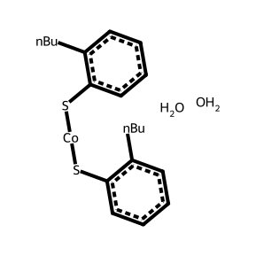 CCCCc1ccccc1[S][Co][S]c1ccccc1CCCC.O.O